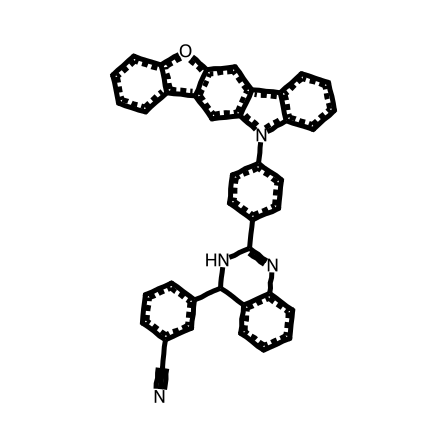 N#Cc1cccc(C2NC(c3ccc(-n4c5ccccc5c5cc6oc7ccccc7c6cc54)cc3)=Nc3ccccc32)c1